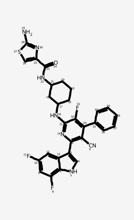 N#Cc1c(-c2c[nH]c3c(F)cc(F)cc23)nc(NC2CCCC(NC(=O)c3csc(N)n3)C2)c(F)c1-c1ccccc1